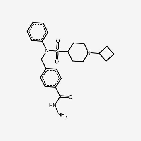 NNC(=O)c1ccc(CN(c2ccccc2)S(=O)(=O)C2CCN(C3CCC3)CC2)cc1